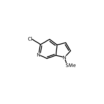 CSn1ccc2cc(Cl)ncc21